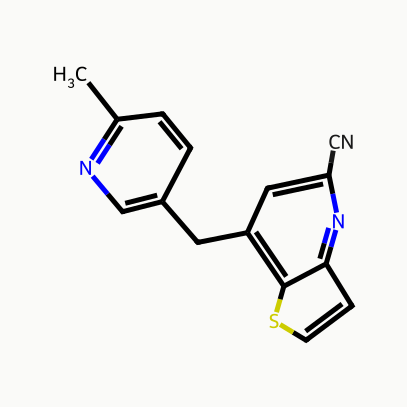 Cc1ccc(Cc2cc(C#N)nc3ccsc23)cn1